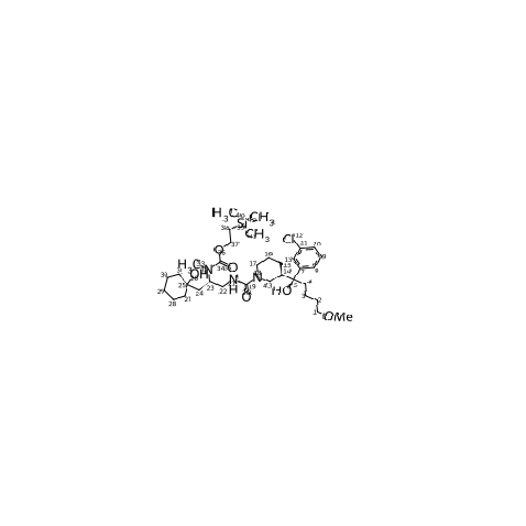 COCCCC[C@@](O)(c1cccc(Cl)c1)[C@@H]1CCCN(C(=O)NCC(CC2(O)CCCCC2)N(C)C(=O)OCC[Si](C)(C)C)C1